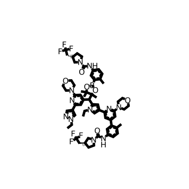 CCn1cc(-c2cc(C(c3cc(-c4cc(-c5cc(NC(=O)N6CC[C@@H](CC(F)(F)F)C6)ccc5C)cc(N5CCOCC5)n4)cn3CC)C3(C)OB(c4cc(NC(=O)N5CC[C@@H](CC(F)(F)F)C5)ccc4C)OC3(C)C)cc(N3CCOCC3)n2)cn1